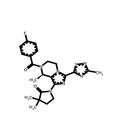 Cc1nsc(-c2nc(N3CCC(C)(C)C3=O)c3n2CCN(C(=O)c2ccc(F)cc2)[C@@H]3C)n1